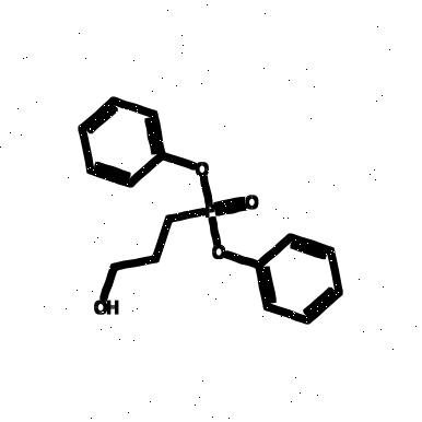 O=P(CCCO)(Oc1ccccc1)Oc1ccccc1